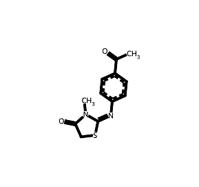 CC(=O)c1ccc(N=C2SCC(=O)N2C)cc1